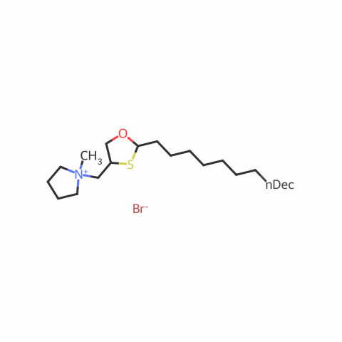 CCCCCCCCCCCCCCCCCC1OCC(C[N+]2(C)CCCC2)S1.[Br-]